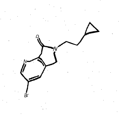 O=C1c2ncc(Br)cc2CN1CCC1CC1